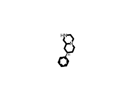 c1ccc([C@@H]2CCN3CCNCC3C2)cc1